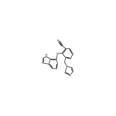 N#Cc1cccc(Cn2ccnc2)c1Oc1cccc2cc[nH]c12